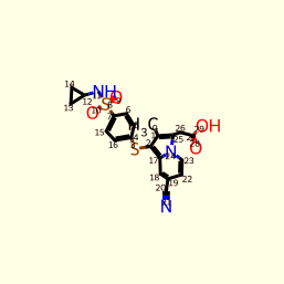 Cc1c(Sc2ccc(S(=O)(=O)NC3CC3)cc2)c2cc(C#N)ccn2c1CC(=O)O